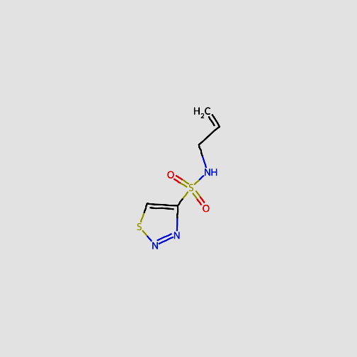 C=CCNS(=O)(=O)c1csnn1